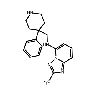 FC(F)(F)c1nc2cccc(NCC3(c4ccccc4)CCNCC3)n2n1